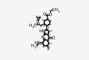 CCOC(=O)c1ccc(-c2cc3c(Cl)c4cc(F)cc(NC)c4nc3[nH]2)c(CN(C)C2CC2)c1